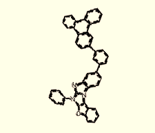 c1ccc(-n2c3oc4ccccc4c3n3c4ccc(-c5cccc(-c6ccc7c8ccccc8c8ccccc8c7c6)c5)cc4nc23)cc1